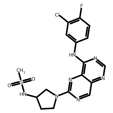 CS(=O)(=O)NC1CCN(c2ncc3ncnc(Nc4ccc(F)c(Cl)c4)c3n2)C1